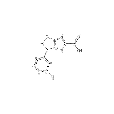 O=C(O)c1nc2n(n1)C(c1cccc(Cl)c1)CC2